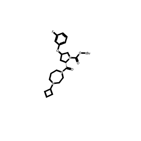 CC(C)(C)OC(=O)N1CC(Oc2cccc(F)c2)C[C@H]1C(=O)N1CCCN(C2CCC2)CC1